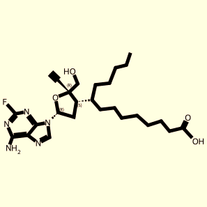 C#C[C@]1(CO)O[C@@H](n2cnc3c(N)nc(F)nc32)C[C@H]1C(CCCCC)CCCCCCCC(=O)O